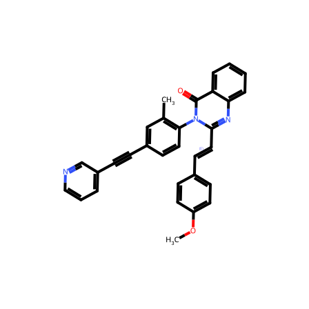 COc1ccc(/C=C/c2nc3ccccc3c(=O)n2-c2ccc(C#Cc3cccnc3)cc2C)cc1